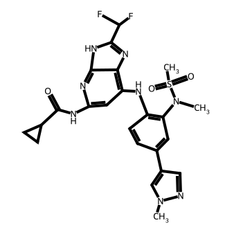 CN(c1cc(-c2cnn(C)c2)ccc1Nc1cc(NC(=O)C2CC2)nc2[nH]c(C(F)F)nc12)S(C)(=O)=O